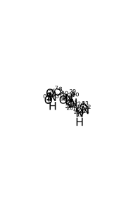 CS(=O)(=O)Nc1cccc(CC(=O)N(c2nc(-c3c[nH]c4ncccc34)cs2)C2CC2)c1